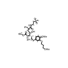 COCCCOc1cc(C[C@@H](C[C@H](NC(=O)OC(C)(C)C)[C@@H](O)C[C@H](C(=O)NCCS(C)(=O)=O)C(C)C)C(C)C)ccc1OC